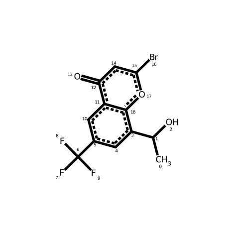 CC(O)c1cc(C(F)(F)F)cc2c(=O)cc(Br)oc12